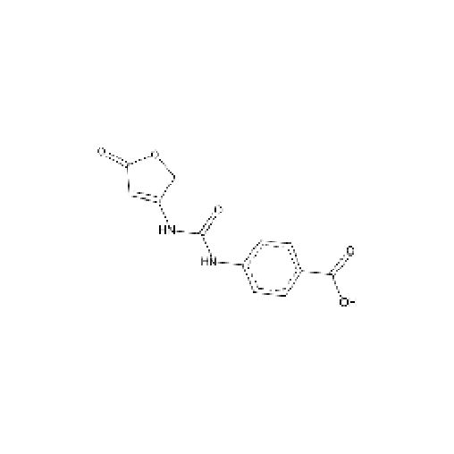 O=C(NC1=CC(=O)OC1)Nc1ccc(C(=O)O)cc1